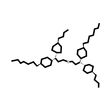 CCCCCCC[C@H]1CC[C@H](C(CCOCCC([C@H]2CC[C@H](CCCC)CC2)[C@H]2CC[C@H](CCCCCCC)CC2)[C@H]2CC[C@H](CCCC)CC2)CC1